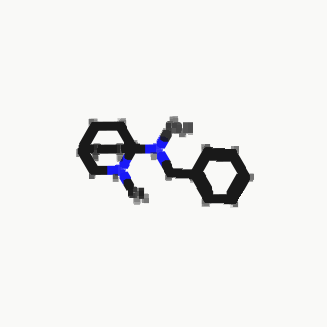 CN1CC2CCC1(N(Cc1ccccc1)C(=O)O)CC2